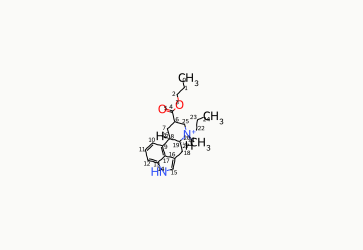 CCCOC(=O)C1C[C@H]2c3cccc4[nH]cc(c34)C[C@@H]2[N+](C)(CCC)C1